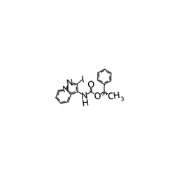 C[C@@H](OC(=O)Nc1c(I)nn2ccccc12)c1ccccc1